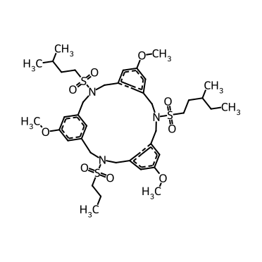 CCCS(=O)(=O)N1Cc2cc(cc(OC)c2)CN(S(=O)(=O)CCC(C)C)Cc2cc(cc(OC)c2)CN(S(=O)(=O)CCC(C)CC)Cc2cc(cc(OC)c2)C1